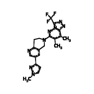 Cc1c(N2CCc3ncc(-c4ccn(C)n4)cc3C2)nn2c(C(F)(F)F)nnc2c1C